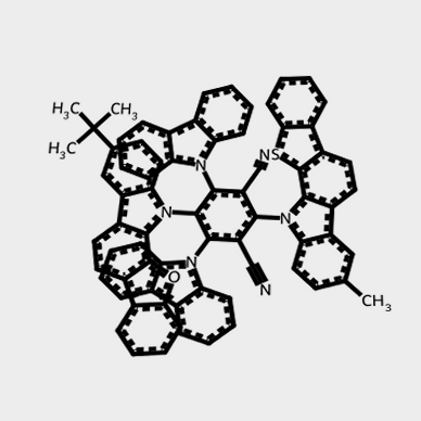 Cc1ccc2c(c1)c1ccc3c4ccccc4sc3c1n2-c1c(C#N)c(-n2c3ccccc3c3ccccc32)c(-n2c3ccc(C(C)(C)C)cc3c3ccc4c5ccccc5oc4c32)c(-n2c3ccccc3c3ccccc32)c1C#N